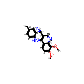 COc1ccc2c(Nc3ccc(C)cc3)c(C#N)cnc2c1OC